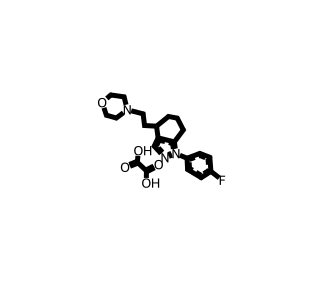 Fc1ccc(-n2ncc3c2CCCC3CCN2CCOCC2)cc1.O=C(O)C(=O)O